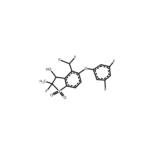 CC1(F)C(O)c2c(ccc(Oc3cc(F)cc(F)c3)c2C(F)F)S1(=O)=O